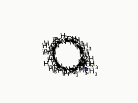 C/C=C/C[C@@H](C)[C@@H](O)[C@H]1C(=O)N[C@@H](CC)C(=O)N(C)CC(=O)N(C)[C@@H](C)C(=O)N[C@@H](C(C)C)C(=O)N(C)[C@@H](C)C(=O)N[C@@H](CC(C)C)C(=O)N[C@H](C)C(=O)N(C)[C@@H](CC(C)C)C(=O)N(C)[C@@H](CC(C)C)C(=O)N(C)[C@@H](C(C)C)C(=O)N1C